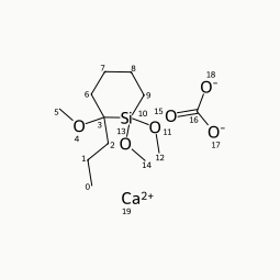 CCCC1(OC)CCCC[Si]1(OC)OC.O=C([O-])[O-].[Ca+2]